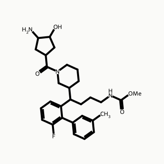 COC(=O)NCCCC(c1cccc(F)c1-c1cccc(C)c1)C1CCCN(C(=O)C2CC(N)C(O)C2)C1